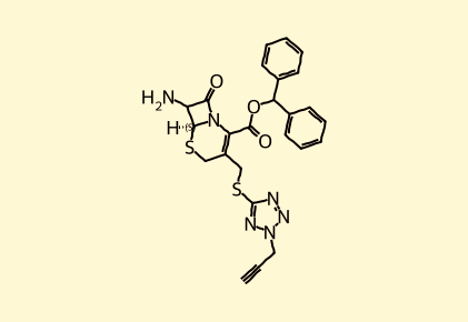 C#CCn1nnc(SCC2=C(C(=O)OC(c3ccccc3)c3ccccc3)N3C(=O)C(N)[C@@H]3SC2)n1